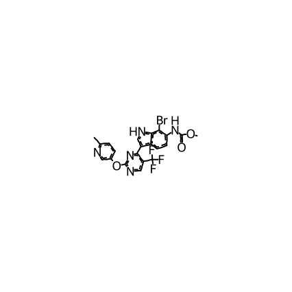 COC(=O)Nc1ccc2c(-c3nc(Oc4ccc(C)nc4)ncc3C(F)(F)F)c[nH]c2c1Br